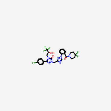 O=C(c1ccccc1-n1cnc(Cn2nc(-c3ccc(Cl)cc3)n(CC(O)C(F)(F)F)c2=O)n1)N1CCC(F)(F)CC1